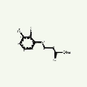 COC(=O)CCSc1cccc(Br)c1F